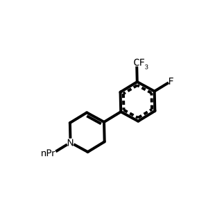 CCCN1CC=C(c2ccc(F)c(C(F)(F)F)c2)CC1